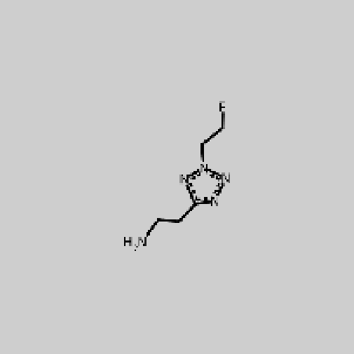 NCCc1nnn(CCF)n1